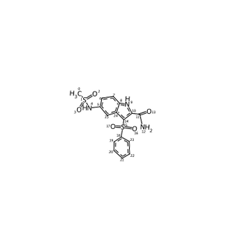 CS(=O)(=O)Nc1ccc2[nH]c(C(N)=O)c(S(=O)(=O)c3ccccc3)c2c1